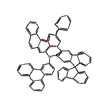 c1ccc(-c2cccc(-c3cc4c(cc3N(c3ccc5c(ccc6ccccc65)c3)c3ccc5c6ccccc6c6ccccc6c5c3)C3(c5ccccc5-c5ccccc53)c3ccccc3-4)c2)cc1